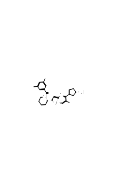 Cc1cc(C)cc(C(=O)N2CCCC[C@H]2c2cc3nc(C4CC[C@H](N)C4)c(C)cn3n2)c1